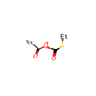 CCSC(=O)OC(=O)CC